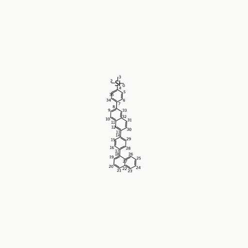 C[Si](C)(C)c1ccc(-c2ccc3cc(-c4ccc(-c5cccc6ccccc56)cc4)ccc3c2)cc1